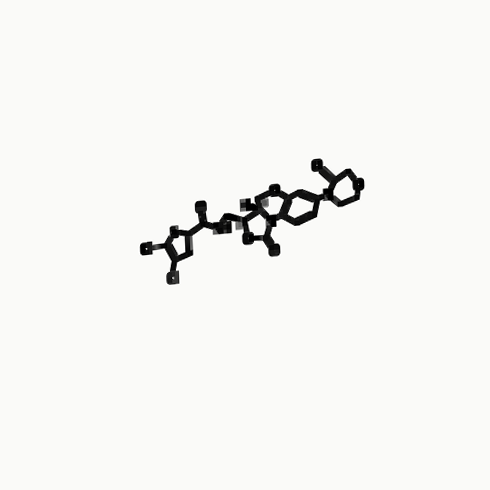 O=C(NC[C@@H]1OC(=O)N2c3ccc(N4CCOCC4=O)cc3OC[C@@H]12)c1cc(Cl)c(Cl)s1